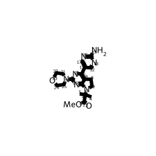 COC(=O)C(C)(C)N1CCc2c(-c3cnc(N)nc3)nc(N3CCOCC3)nc21